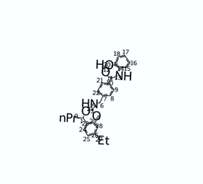 CCC[C@@H](OC(=O)NCc1ccc(C(=O)Nc2ccccc2O)cc1)c1ccc(CC)cc1